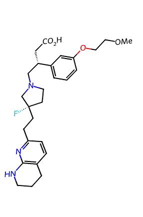 COCCOc1cccc([C@@H](CC(=O)O)CN2CC[C@@](F)(CCc3ccc4c(n3)NCCC4)C2)c1